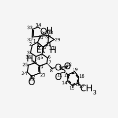 CC[C@]12CCC3C(C[C@@H](COS(=O)(=O)c4ccc(C)cc4)C4=CC(=O)CC[C@@H]43)C1[C@@H]1C[C@@H]1[C@@]21C=CCO1